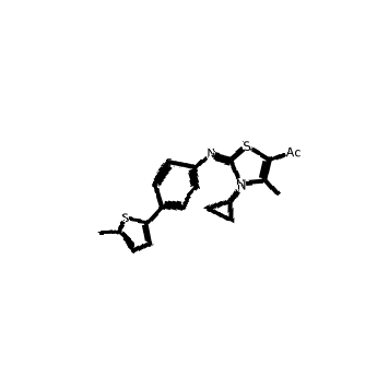 CC(=O)c1sc(=Nc2ccc(-c3ccc(C)s3)cc2)n(C2CC2)c1C